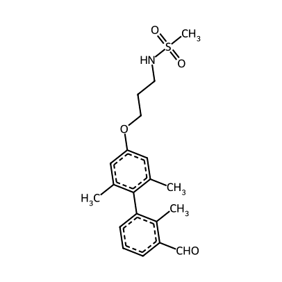 Cc1cc(OCCCNS(C)(=O)=O)cc(C)c1-c1cccc(C=O)c1C